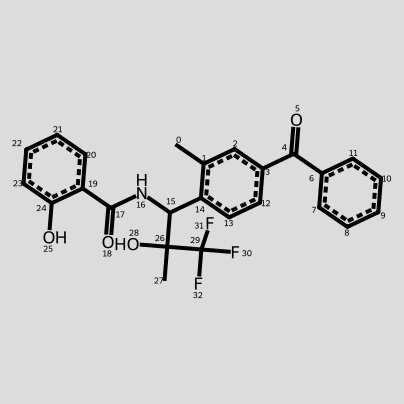 Cc1cc(C(=O)c2ccccc2)ccc1C(NC(=O)c1ccccc1O)C(C)(O)C(F)(F)F